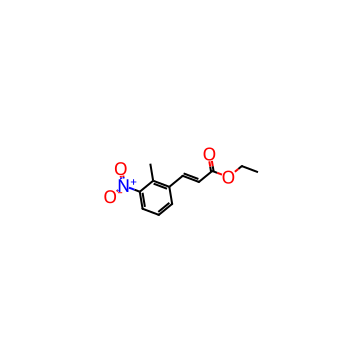 CCOC(=O)C=Cc1cccc([N+](=O)[O-])c1C